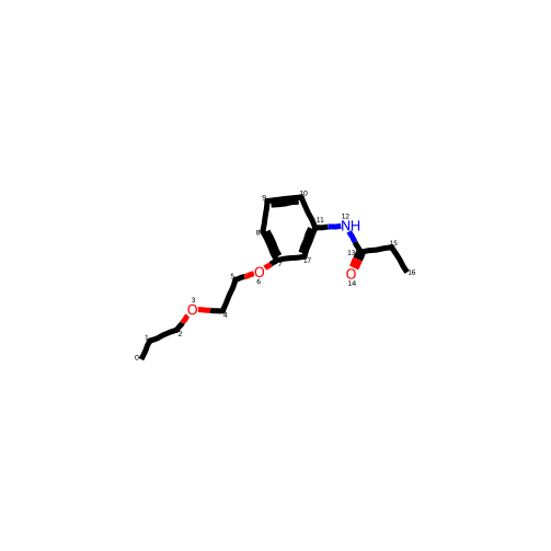 CCCOCCOc1cccc(NC(=O)CC)c1